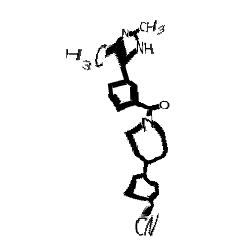 Cc1nc(C)c(-c2cccc(C(=O)N3CCC(c4ccc(C#N)cc4)CC3)c2)[nH]1